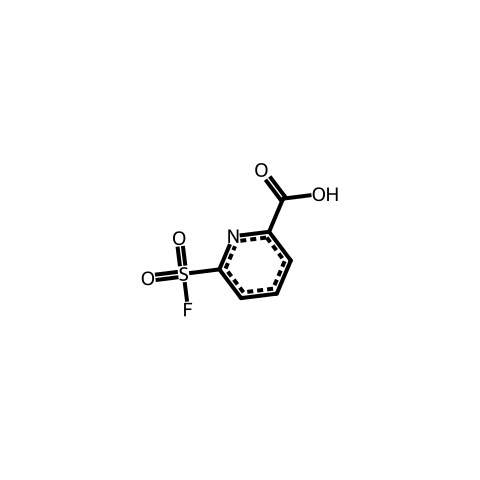 O=C(O)c1cccc(S(=O)(=O)F)n1